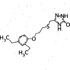 CCc1ccc(OCCCSCc2n[nH]c(=O)[nH]2)c(CC)c1